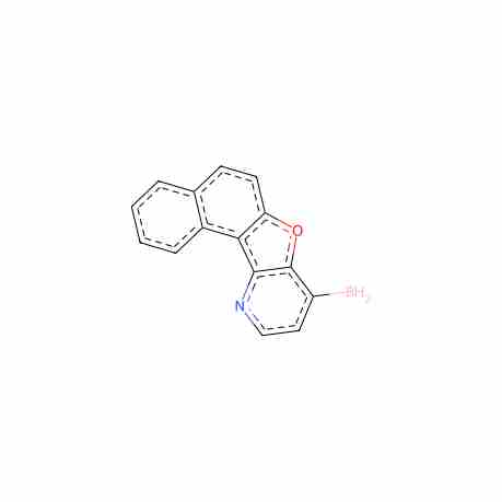 Bc1ccnc2c1oc1ccc3ccccc3c12